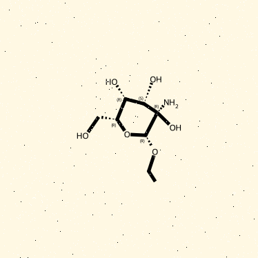 CCO[C@@H]1O[C@H](CO)[C@H](O)[C@H](O)[C@@]1(N)O